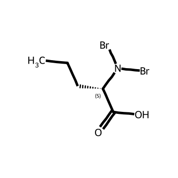 CCC[C@@H](C(=O)O)N(Br)Br